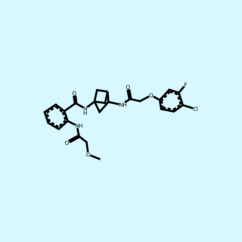 COCC(=O)Nc1ccccc1C(=O)NC12CC(C1)C(NC(=O)COc1ccc(Cl)c(F)c1)C2